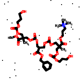 CCCCOC(=O)C(C)(COC(=O)OCCCO)COC(=O)OCC(COC(=O)OCC(C)(COC(=O)OCCCO)C(=O)OCCC[N+](C)(C)C)C(=O)OCc1ccccc1